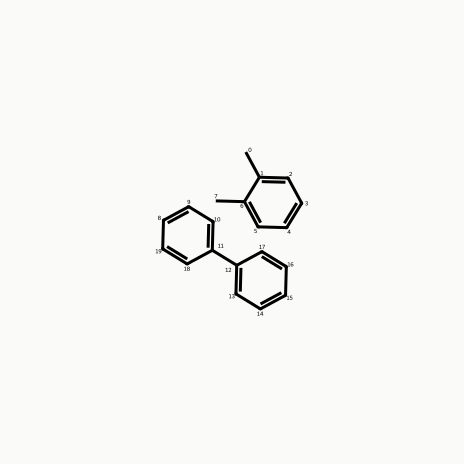 Cc1ccccc1C.c1ccc(-c2ccccc2)cc1